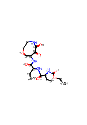 CC(C)CC(NC(=O)OCC(C)(C)C)C(=O)NC(CC(C)C)C(=O)NC1COCCNC(=O)C1=O